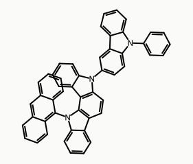 c1ccc(-n2c3ccccc3c3cc(-n4c5ccccc5c5c4ccc4c6ccccc6n(-c6c7ccccc7cc7ccccc67)c45)ccc32)cc1